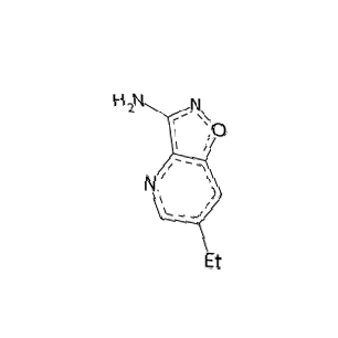 CCc1cnc2c(N)noc2c1